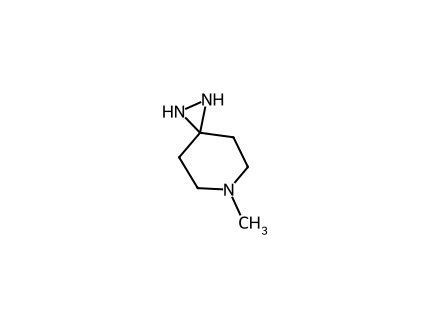 CN1CCC2(CC1)NN2